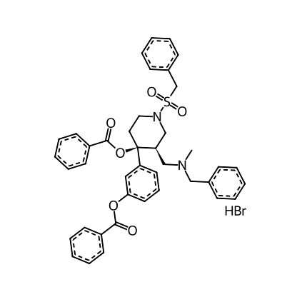 Br.CN(Cc1ccccc1)C[C@@H]1CN(S(=O)(=O)Cc2ccccc2)CC[C@@]1(OC(=O)c1ccccc1)c1cccc(OC(=O)c2ccccc2)c1